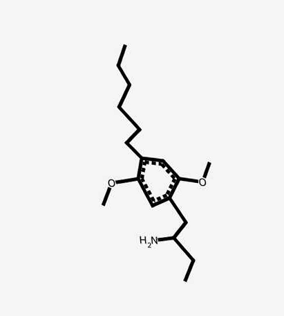 CCCCCCc1cc(OC)c(CC(N)CC)cc1OC